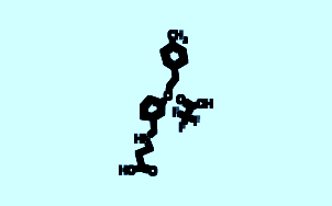 Cc1ccc(CCOc2cccc(CNCCC(=O)O)c2)cc1.O=C(O)C(F)(F)F